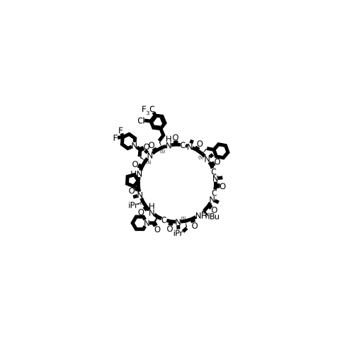 CC[C@H](C)[C@@H]1NC(=O)[C@H](CC(C)C)N(C)C(=O)C[C@@H](C(=O)N2CCCCC2)NC(=O)[C@H](C(C)C)N(C)C(=O)C2(CCCC2)NC(=O)[C@H](CC(=O)N2CCC(F)(F)CC2)N(C)C(=O)[C@H](CCc2ccc(C(F)(F)F)c(Cl)c2)NC(=O)CN(C)C(=O)[C@H](CC2CCCCC2)N(C)C(=O)CN(C)C(=O)CN(C)C1=O